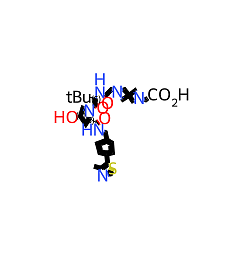 Cc1ncsc1-c1ccc(CNC(=O)[C@@H]2C[C@@H](O)CN2C(=O)[C@@H](NC(=O)CN2CC3(CN(CC(=O)O)C3)C2)C(C)(C)C)cc1